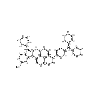 N#Cc1ccc2c(c1)c1c3ccc4ccc(-c5ccc(N(c6ccccc6)c6ccccc6)cc5)c5ccc(cc1n2-c1ccccc1)c3c45